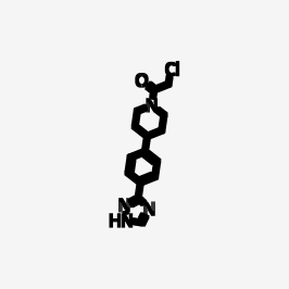 O=C(CCl)N1CCC(c2ccc(-c3nc[nH]n3)cc2)CC1